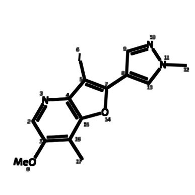 COc1cnc2c(I)c(-c3cnn(C)c3)oc2c1C